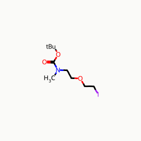 CN(CCOCCI)C(=O)OC(C)(C)C